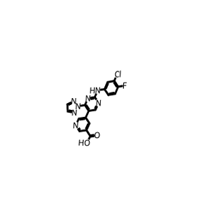 O=C(O)c1cncc(-c2cnc(Nc3ccc(F)c(Cl)c3)nc2-n2nccn2)c1